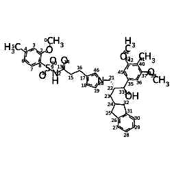 COc1cc(C)ccc1S(=O)(=O)NC(=O)CCc1ccn(C[C@@H](CC2Cc3ccccc3C2)[C@H](O)c2cc(OC)c(C)c(OC)c2)c1